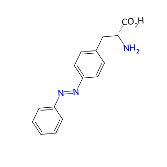 N[C@H](Cc1ccc(/N=N/c2ccccc2)cc1)C(=O)O